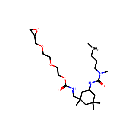 C[SiH2]CCCN(C)C(=O)NC1CC(C)(C)CC(C)(CNC(=O)OCCOCCOCC2CO2)C1